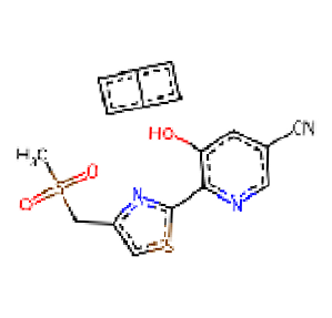 CS(=O)(=O)Cc1csc(-c2ncc(C#N)cc2O)n1.c1cc2ccc1-2